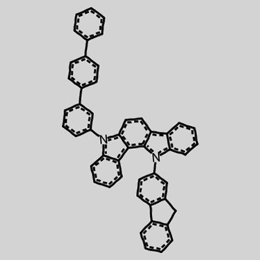 c1ccc(-c2ccc(-c3cccc(-n4c5ccccc5c5c4ccc4c6ccccc6n(-c6ccc7c(c6)Cc6ccccc6-7)c45)c3)cc2)cc1